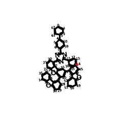 c1ccc(-c2ccc(-c3nc(-c4ccccc4)nc(-c4cccc5oc6c(-c7cccc8oc9ccccc9c78)cc(-c7cccc8oc9ccccc9c78)cc6c45)n3)cc2)cc1